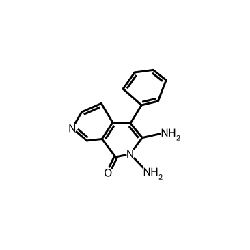 Nc1c(-c2ccccc2)c2ccncc2c(=O)n1N